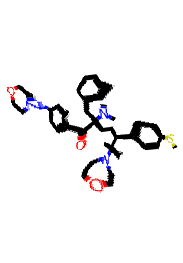 CSc1ccc(C(CCC(Cc2ccccc2)(C(=O)c2ccc(N3CCOCC3)cc2)N(C)C)C(C)(C)N2CCOCC2)cc1